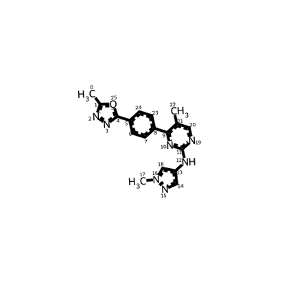 Cc1nnc(-c2ccc(-c3nc(Nc4cnn(C)c4)ncc3C)cc2)o1